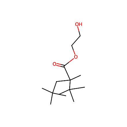 CC(C)(C)CC(C)(C(=O)OCCO)C(C)(C)C